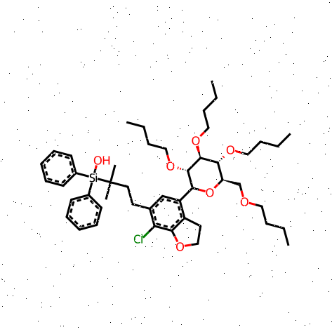 CCCCOC[C@H]1OC(c2cc(CCC(C)(C)[Si](O)(c3ccccc3)c3ccccc3)c(Cl)c3c2CCO3)[C@H](OCCCC)[C@@H](OCCCC)[C@@H]1OCCCC